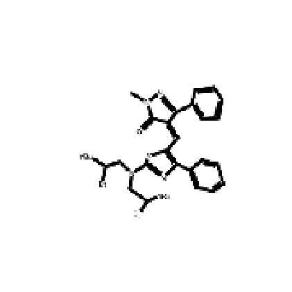 CCCCC(CC)CN(CC(CC)CCCC)c1nc(-c2ccccc2)c(/C=C2\C(=O)N(C)N=C2c2ccccc2)s1